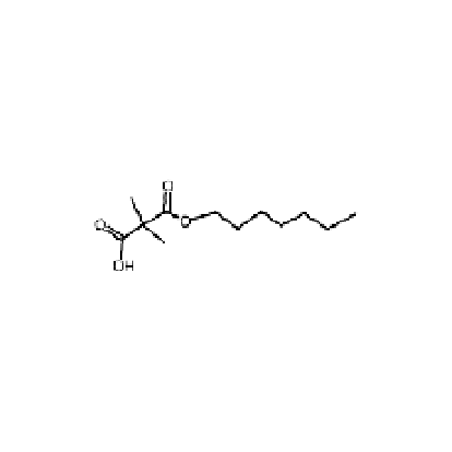 CCCCCCCOC(=O)C(C)(C)C(=O)O